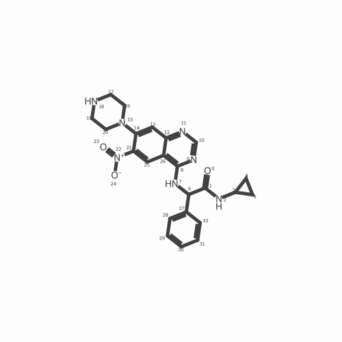 O=C(NC1CC1)C(Nc1ncnc2cc(N3CCNCC3)c([N+](=O)[O-])cc12)c1ccccc1